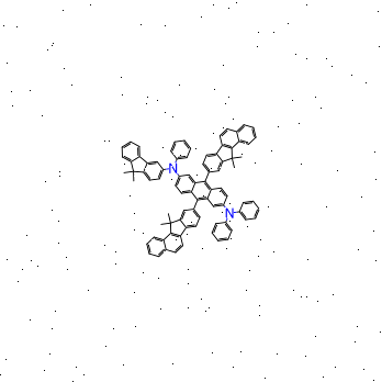 CC1(C)c2ccccc2-c2cc(N(c3ccccc3)c3ccc4c(-c5ccc6c(c5)C(C)(C)c5c-6ccc6ccccc56)c5cc(N(c6ccccc6)c6ccccc6)ccc5c(-c5ccc6c(c5)C(C)(C)c5c-6ccc6ccccc56)c4c3)ccc21